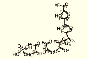 O=C(O)C(=O)F.O=C(O)C(=O)F.O=C(O)C(=O)F.O=C(O)C(=O)F.O=C(O)C(=O)F.O=C(O)C(=O)F.O=P([O-])(O)O.[Li+]